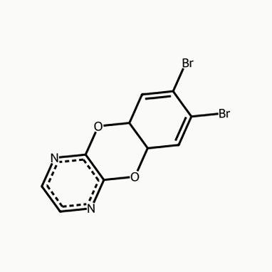 BrC1=CC2Oc3nccnc3OC2C=C1Br